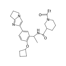 CCC(=O)N1CCCC(C(=O)NC(C)c2cc(-c3cn4c(n3)CCC4)ccc2OC2CCC2)C1